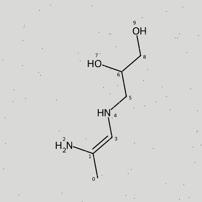 CC(N)=CNCC(O)CO